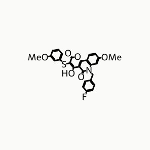 COc1cccc(Sc2c(O)c3c(=O)n(Cc4ccc(F)cc4)c4cc(OC)ccc4c3oc2=O)c1